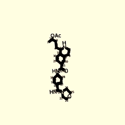 CC(=O)OC(C)CCC1NCCc2cc(C(=O)Nc3ccc(C(=N)N4CCOCC4)cc3)ccc21